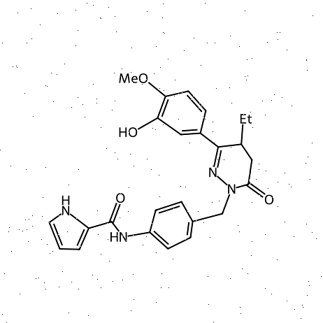 CCC1CC(=O)N(Cc2ccc(NC(=O)c3ccc[nH]3)cc2)N=C1c1ccc(OC)c(O)c1